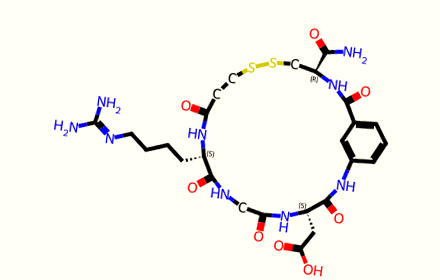 NC(=O)[C@@H]1CSSCCC(=O)N[C@@H](CCCCN=C(N)N)C(=O)NCC(=O)N[C@@H](CC(=O)O)C(=O)Nc2cccc(c2)C(=O)N1